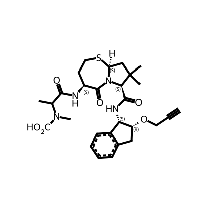 C#CCO[C@@H]1Cc2ccccc2[C@@H]1NC(=O)[C@H]1N2C(=O)[C@@H](NC(=O)C(C)N(C)C(=O)O)CCS[C@H]2CC1(C)C